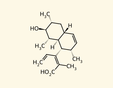 C=C/C(=C(/C)C(=O)O)[C@@H]1[C@H]2[C@H](C)[C@@H](O)[C@H](C)C[C@@H]2C=C[C@@H]1C